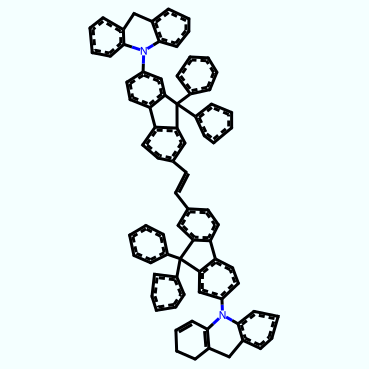 C1=CC2=C(CC1)Cc1ccccc1N2c1ccc2c(c1)C(c1ccccc1)(c1ccccc1)c1cc(/C=C/c3ccc4c(c3)C(c3ccccc3)(c3ccccc3)c3cc(N5c6ccccc6Cc6ccccc65)ccc3-4)ccc1-2